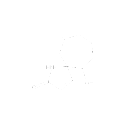 O=C1C=CC2(CCCCCC2O)N1